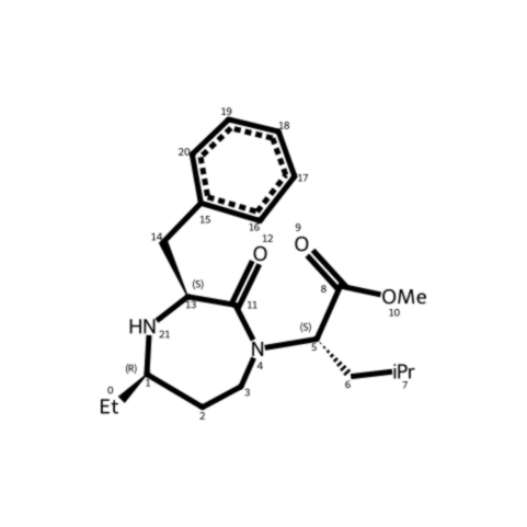 CC[C@@H]1CCN([C@@H](CC(C)C)C(=O)OC)C(=O)[C@H](Cc2ccccc2)N1